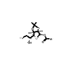 CCCC(=O)O[C@H]1O[C@H]([C@H](O)CO)[C@@H]2OC(C)(C)O[C@H]12